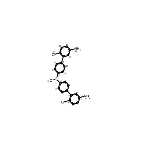 Nc1ccc(Cl)c(-c2ccc([S+]([O-])c3ccc(-c4cc(N)ccc4Cl)cc3)cc2)c1